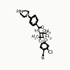 CC1(C)[C@H](NC(=O)c2ccc(N3CCNCC3)cc2)C(C)(C)[C@H]1Oc1ccc(C#N)c(Cl)c1